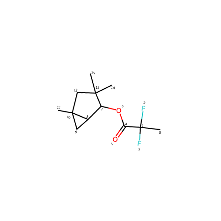 CC(F)(F)C(=O)OC1C2CC2(C)CC1(C)C